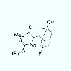 COC(=O)[C@@H](NC(=O)OC(C)(C)C)C12CC3CC(O)(CC(F)(C3)C1)C2